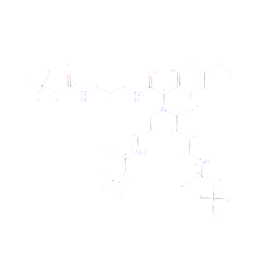 COc1ccc(C(C(=O)NCCCNC(=O)OC(C)(C)C)N(CCCNC(=O)OC(C)(C)C)C(=O)CCCNC(=O)OC(C)(C)C)cc1